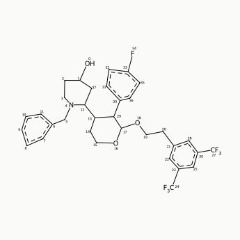 OC1CCN(Cc2ccccc2)C(C2CCOC(OCCc3cc(C(F)(F)F)cc(C(F)(F)F)c3)C2c2ccc(F)cc2)C1